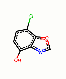 Oc1ccc(Cl)c2ocnc12